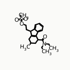 CCN(CC)C(=O)C1CC(C)CC2=C1c1ccccc1C2CCOS(C)(=O)=O